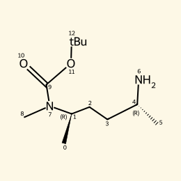 C[C@H](CC[C@@H](C)N)N(C)C(=O)OC(C)(C)C